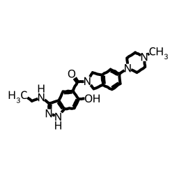 CCNc1n[nH]c2cc(O)c(C(=O)N3Cc4ccc(N5CCN(C)CC5)cc4C3)cc12